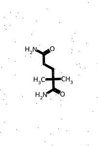 CC(C)([CH]CC(N)=O)C(N)=O